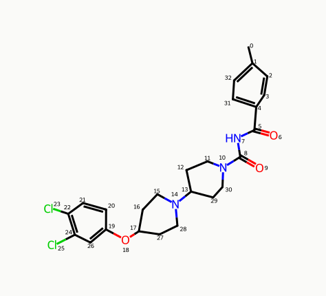 Cc1ccc(C(=O)NC(=O)N2CCC(N3CCC(Oc4ccc(Cl)c(Cl)c4)CC3)CC2)cc1